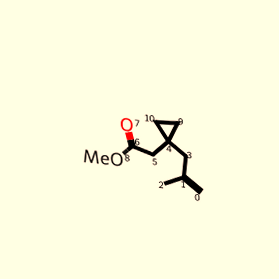 C=C(C)CC1(CC(=O)OC)CC1